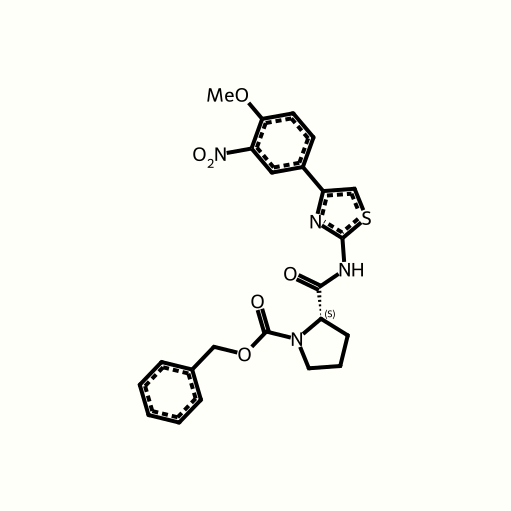 COc1ccc(-c2csc(NC(=O)[C@@H]3CCCN3C(=O)OCc3ccccc3)n2)cc1[N+](=O)[O-]